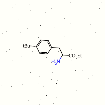 CCOC(=O)C(N)Cc1ccc(C(C)(C)C)cc1